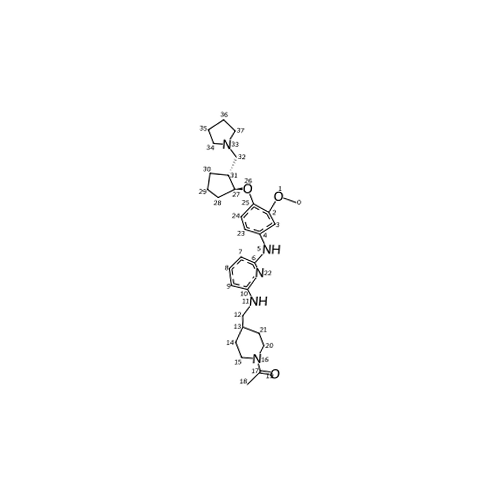 COc1cc(Nc2cccc(NCC3CCN(C(C)=O)CC3)n2)ccc1O[C@H]1CCC[C@@H]1CN1CCCC1